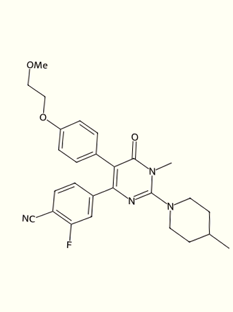 COCCOc1ccc(-c2c(-c3ccc(C#N)c(F)c3)nc(N3CCC(C)CC3)n(C)c2=O)cc1